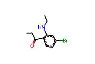 CCNc1cc(Br)ccc1C(=O)CC